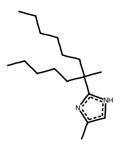 CCCCCCC(C)(CCCCC)c1nc(C)c[nH]1